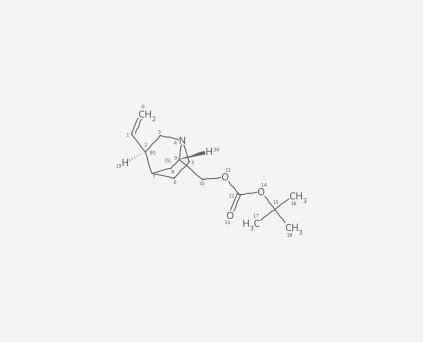 C=C[C@H]1CN2CCC1C[C@H]2COC(=O)OC(C)(C)C